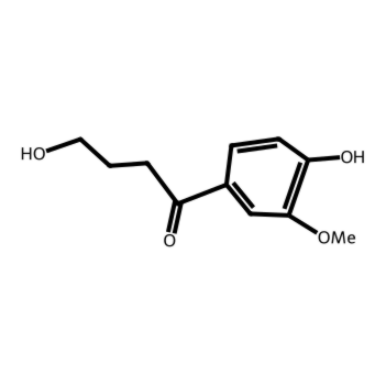 COc1cc(C(=O)CCCO)ccc1O